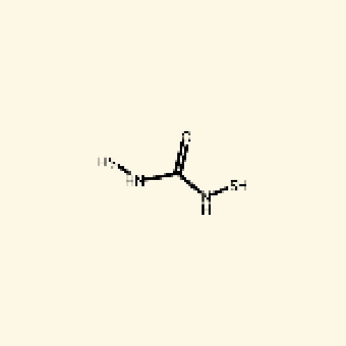 O=C(NS)NS